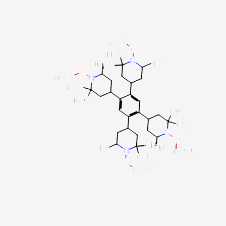 CCCCCCCCON1C(C)CC(c2cc(C3CC(C(C)C)N(OCCCCCCCC)C(C)(C)C3)c(C3CC(C(C)C)N(OCCCCCCCC)C(C)(C)C3)cc2C2CC(C(C)C)N(OCCCCCCCC)C(C)(C)C2)CC1(C)C